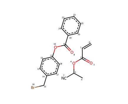 C=CC(=O)OC(C)C#N.O=C(Oc1ccc(CBr)cc1)c1ccccc1